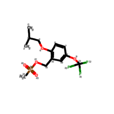 CC(C)COc1ccc(OC(F)(F)F)cc1COS(C)(=O)=O